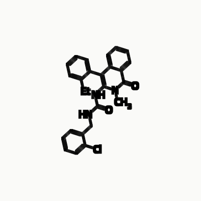 CCc1ccccc1-c1c(NC(=O)NCc2ccccc2Cl)n(C)c(=O)c2ccccc12